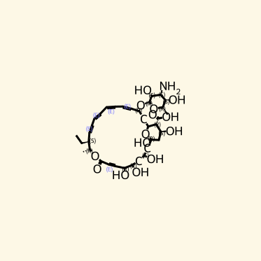 CC[C@H]1/C=C/C=C/C=C/C=C/[C@H](O[C@@H]2O[C@H](C)[C@@H](O)[C@H](N)[C@@H]2O)CC2O[C@](O)(C[C@@H](O)C[C@@H](O)[C@H](O)/C=C/C(=O)O[C@@H]1C)C[C@H](O)[C@H]2C(=O)O